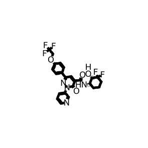 O=C(N[C@H]1CCCC(F)(F)[C@@H]1O)c1cc(-c2ccc(OCC(F)(F)F)cc2)nn(-c2cccnc2)c1=O